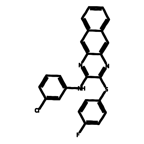 Fc1ccc(Sc2nc3cc4ccccc4cc3nc2Nc2cccc(Cl)c2)cc1